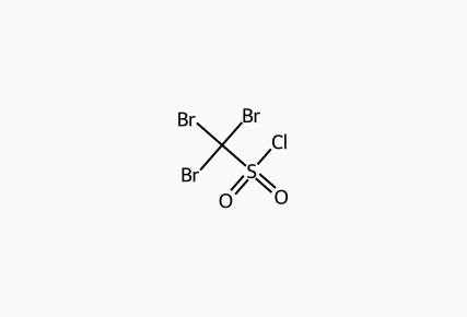 O=S(=O)(Cl)C(Br)(Br)Br